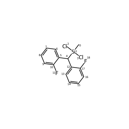 C[Si](Cl)(Cl)C(c1ccccc1F)c1ccccc1F